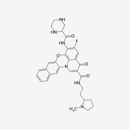 CN1CCCC1CCNC(=O)c1cn2c3c(c(NC(=O)C4CNCCN4)c(F)cc3c1=O)Oc1cc3ccccc3cc1-2